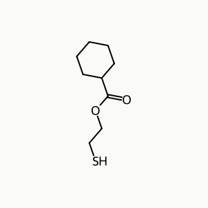 O=C(OCCS)C1CCCCC1